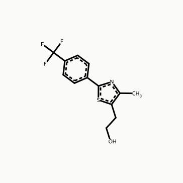 Cc1nc(-c2ccc(C(F)(F)F)cc2)sc1CCO